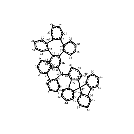 c1ccc(-c2ccccc2N(c2ccc3c(c2)-c2ccccc2-c2ccccc2-c2ccccc2-3)c2cccc3c2-c2ccccc2C32c3ccccc3-c3ccccc32)cc1